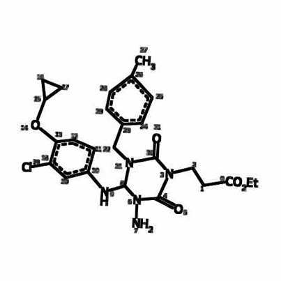 CCOC(=O)CCN1C(=O)N(N)C(Nc2ccc(OC3CC3)c(Cl)c2)N(Cc2ccc(C)cc2)C1=O